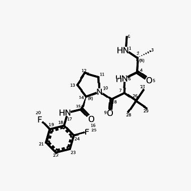 CN[C@H](C)C(=O)NC(C(=O)N1CCC[C@@H]1C(=O)Nc1c(F)cccc1F)C(C)(C)C